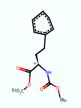 CCOC(=O)OC(=O)[C@@H](CCc1ccccc1)NC(=O)OC(C)(C)C